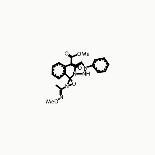 CO/N=C(\C)N1OC1(c1ccccc1C(=O)C(=O)OC)N1C=CN(c2ccccc2)N1